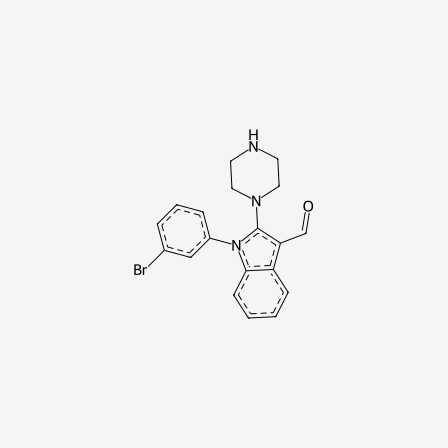 O=Cc1c(N2CCNCC2)n(-c2cccc(Br)c2)c2ccccc12